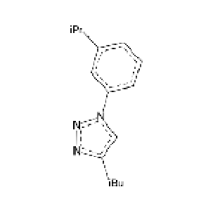 CCC(C)c1cn(-c2cccc(C(C)C)c2)nn1